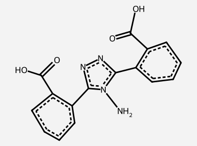 Nn1c(-c2ccccc2C(=O)O)nnc1-c1ccccc1C(=O)O